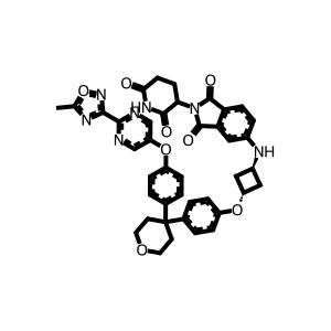 Cc1nc(-c2ncc(Oc3ccc(C4(c5ccc(O[C@H]6C[C@H](Nc7ccc8c(c7)C(=O)N(C7CCC(=O)NC7=O)C8=O)C6)cc5)CCOCC4)cc3)cn2)no1